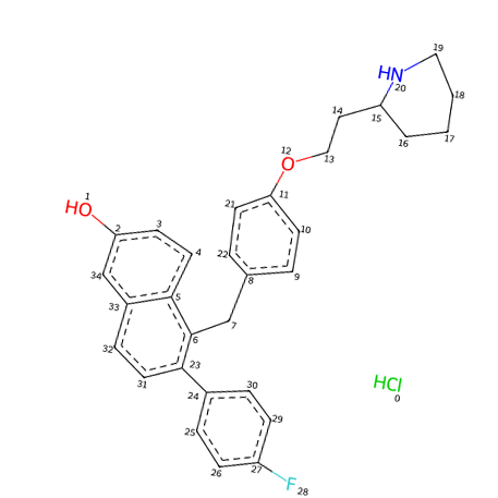 Cl.Oc1ccc2c(Cc3ccc(OCCC4CCCCN4)cc3)c(-c3ccc(F)cc3)ccc2c1